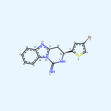 N=C1N[C@H](c2cc(Br)cs2)Cc2nc3ccccc3n21